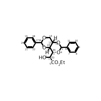 CCOC(=O)[C@@H](O)[C@H]1OC(c2ccccc2)O[C@H]2COC(c3ccccc3)O[C@@H]12